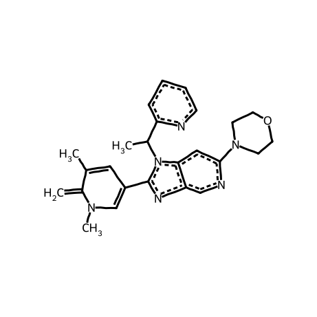 C=C1C(C)=CC(c2nc3cnc(N4CCOCC4)cc3n2C(C)c2ccccn2)=CN1C